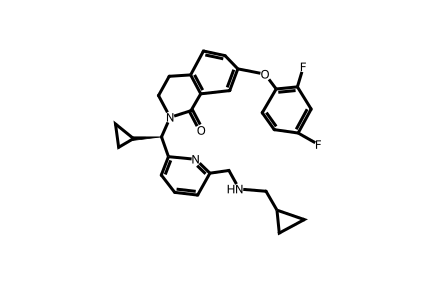 O=C1c2cc(Oc3ccc(F)cc3F)ccc2CCN1[C@@H](c1cccc(CNCC2CC2)n1)C1CC1